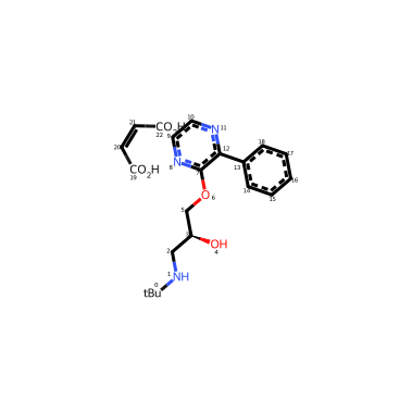 CC(C)(C)NC[C@H](O)COc1nccnc1-c1ccccc1.O=C(O)/C=C\C(=O)O